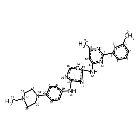 Cc1cccc(-c2nc(C)cc(Nc3ccnc(Nc4ccc(N5CCN(C)CC5)cc4)n3)n2)n1